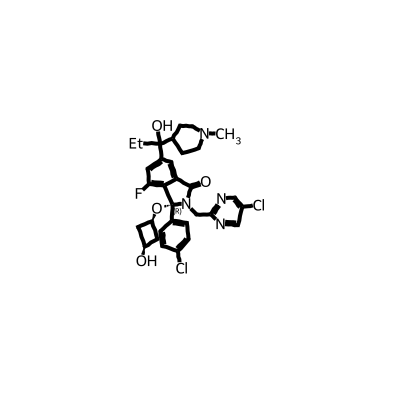 CCC(O)(c1cc(F)c2c(c1)C(=O)N(Cc1ncc(Cl)cn1)[C@@]2(O[C@H]1C[C@@H](O)C1)c1ccc(Cl)cc1)C1CCN(C)CC1